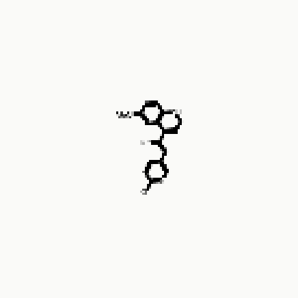 COc1ccc2c(c1)C(/C(C#N)=C/c1ccc(Cl)nc1)=CCN2